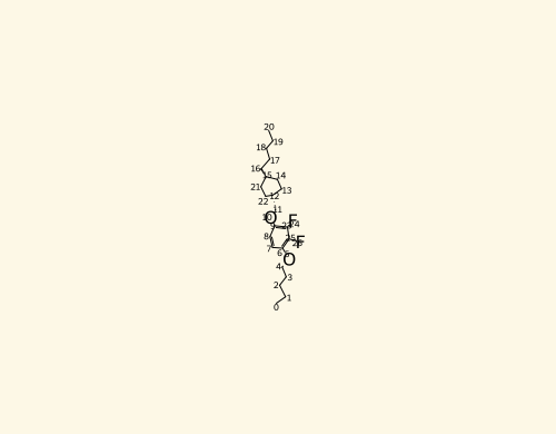 CCCCCOc1ccc(OC[C@H]2CC[C@H](CCCCC)CC2)c(F)c1F